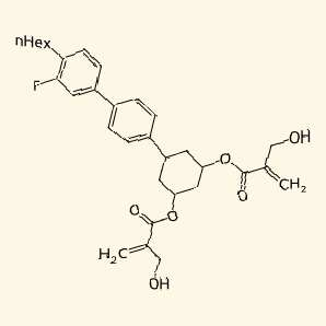 C=C(CO)C(=O)OC1CC(OC(=O)C(=C)CO)CC(c2ccc(-c3ccc(CCCCCC)c(F)c3)cc2)C1